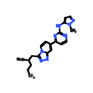 CO[C@H](CCC(F)(F)F)Cc1nnc2cc(-c3ccnc(Nc4ccnn4C)n3)ccn12